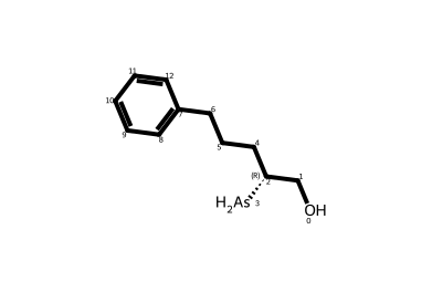 OC[C@H]([AsH2])CCCc1ccccc1